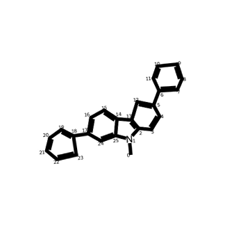 Cn1c2ccc(-c3ccccc3)cc2c2ccc(-c3ccccc3)cc21